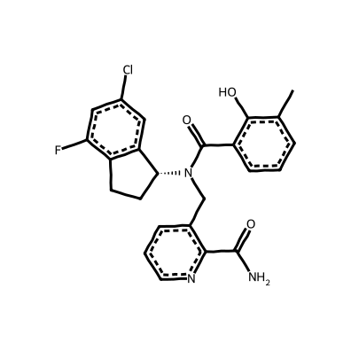 Cc1cccc(C(=O)N(Cc2cccnc2C(N)=O)[C@@H]2CCc3c(F)cc(Cl)cc32)c1O